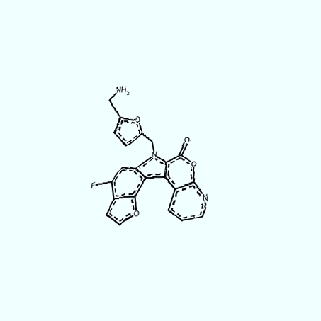 NCc1ccc(Cn2c3cc(F)c4ccoc4c3c3c4cccnc4oc(=O)c32)o1